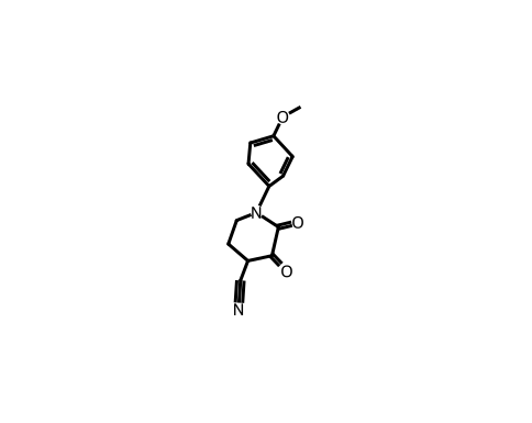 COc1ccc(N2CCC(C#N)C(=O)C2=O)cc1